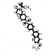 COc1cnc2cc(-c3ccc(S(=O)(=O)C4CCC5(CC4)CN(C4(C)CC4)C(=O)CO5)cc3)ccc2c1